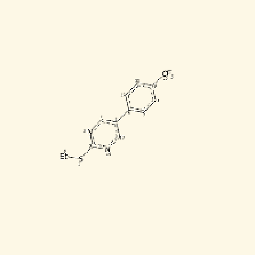 CCSc1ncc(-c2ccc(C(F)(F)F)cc2)cn1